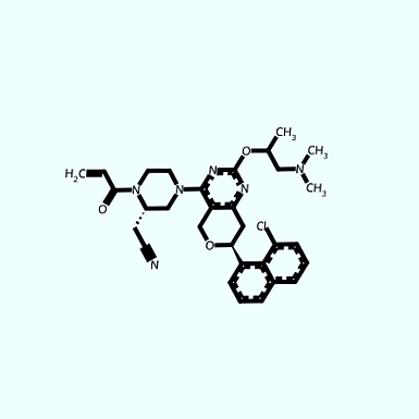 C=CC(=O)N1CCN(c2nc(OC(C)CN(C)C)nc3c2CO[C@H](c2cccc4cccc(Cl)c24)C3)C[C@@H]1CC#N